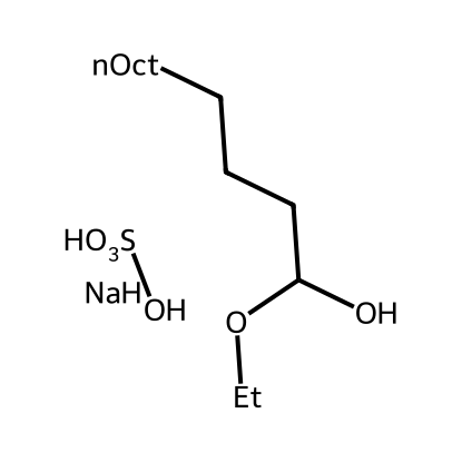 CCCCCCCCCCCC(O)OCC.O=S(=O)(O)O.[NaH]